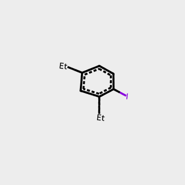 CCc1ccc(I)c(CC)c1